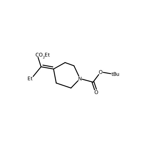 CCOC(=O)C(CC)=C1CCN(C(=O)OC(C)(C)C)CC1